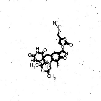 C[C@@H]1CN2c3c(cc4c(-n5cc(CN=[N+]=[N-])sc5=O)noc4c3F)CC3(C(=O)NC(=O)NC3=O)[C@H]2[C@H](C)O1